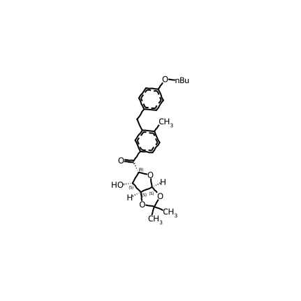 CCCCOc1ccc(Cc2cc(C(=O)[C@@H]3O[C@H]4OC(C)(C)O[C@H]4[C@@H]3O)ccc2C)cc1